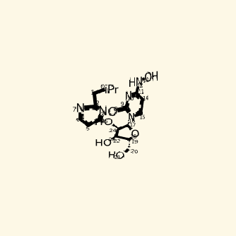 CC(C)Cc1ncccn1.O=c1nc(NO)ccn1[C@@H]1O[C@H](CO)[C@@H](O)[C@H]1O